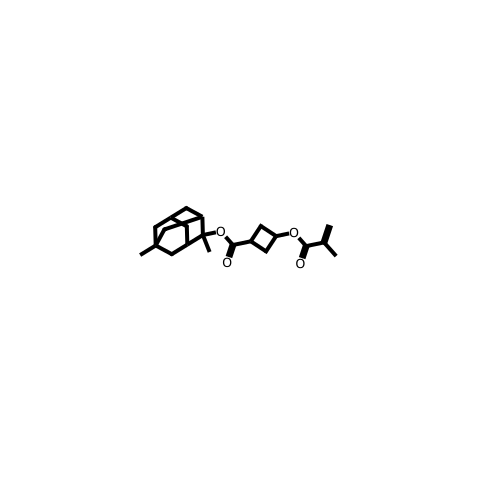 C=C(C)C(=O)OC1CC(C(=O)OC2(C)C3CC4CC2CC(C)(C4)C3)C1